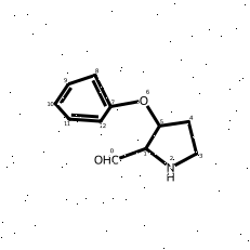 O=CC1NCCC1Oc1ccccc1